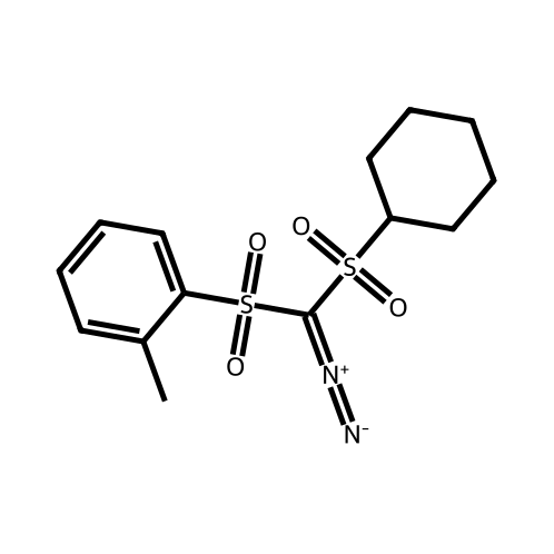 Cc1ccccc1S(=O)(=O)C(=[N+]=[N-])S(=O)(=O)C1CCCCC1